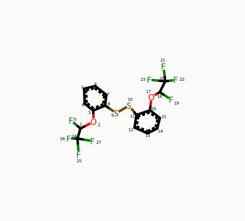 FC(Oc1ccccc1SSc1ccccc1OC(F)C(F)(F)F)C(F)(F)F